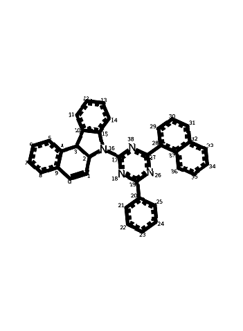 C1=CC2C(c3ccccc31)c1ccccc1N2c1nc(-c2ccccc2)nc(-c2cccc3ccccc23)n1